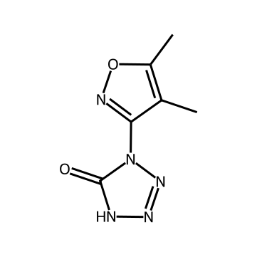 Cc1onc(-n2nn[nH]c2=O)c1C